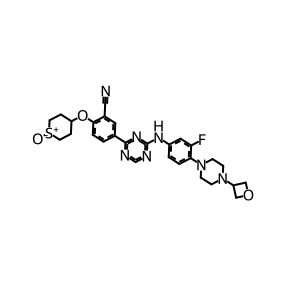 N#Cc1cc(-c2ncnc(Nc3ccc(N4CCN(C5COC5)CC4)c(F)c3)n2)ccc1OC1CC[S+]([O-])CC1